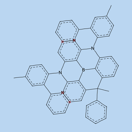 Cc1ccc(N2c3cccc4c3B3c5c2cccc5C(C)(c2ccccc2)c2cccc(c23)N4c2ccc(C)cc2-c2ccccn2)c(-c2ccccn2)c1